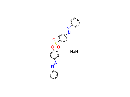 O=S(=O)(Oc1ccc(/N=N/c2ccccc2)cc1)c1ccc(/N=N/c2ccccc2)cc1.[NaH]